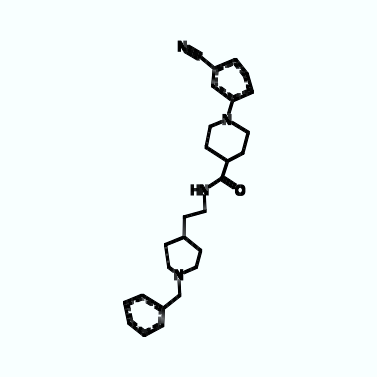 N#Cc1cccc(N2CCC(C(=O)NCCC3CCN(Cc4ccccc4)CC3)CC2)c1